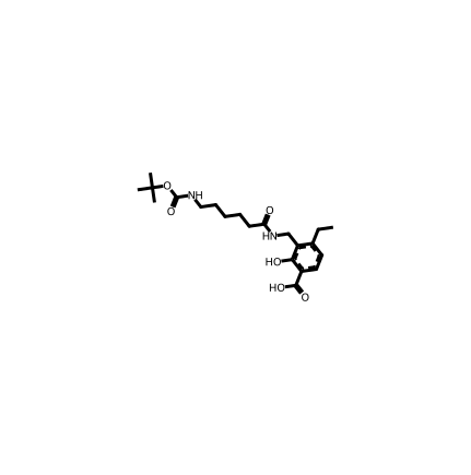 CCc1ccc(C(=O)O)c(O)c1CNC(=O)CCCCCNC(=O)OC(C)(C)C